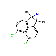 CCC1(c2ccc(Cl)cc2)NC1(CC)c1ccc(Cl)cc1